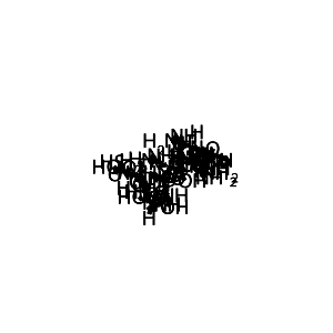 CC[C@H](C)[C@H](NC(=O)[C@H](CCCNC(=N)N)NC(=O)[C@H](CC(=O)O)NC(=O)[C@@H](NC(=O)[C@H](CCCNC(=N)N)NC(=O)[C@H](CCCNC(=N)N)NC(=O)CNC(=O)[C@H](Cc1ccccc1)NC(=O)[C@@H](N)CS)[C@@H](C)CC)C(=O)NCC(=O)N[C@@H](CO)C(=O)N[C@@H](CC(C)C)C(=O)N[C@@H](CO)C(=O)NCC(=O)N[C@@H](CCSC)C(=O)NCC(=O)N[C@@H](CS)C(=O)O